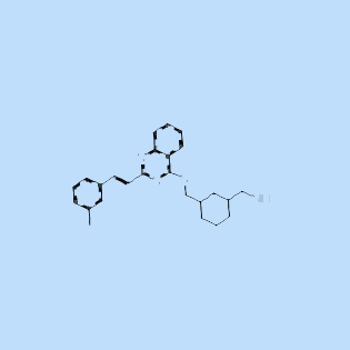 Cc1cccc(C=Cc2nc(NCC3CCCC(CN)C3)c3ccccc3n2)c1